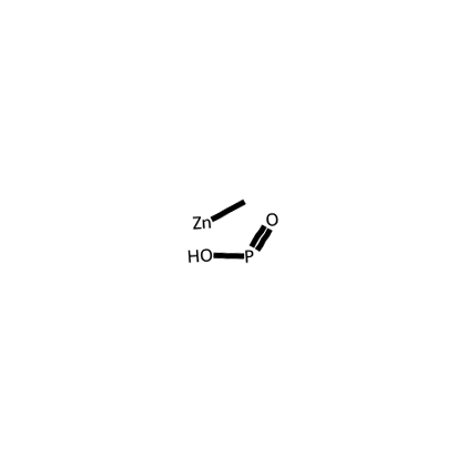 O=PO.[CH3][Zn]